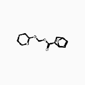 O=C(OCOC1CCCCO1)C1CC2C=CC1O2